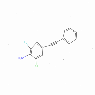 Nc1c(F)cc(C#Cc2ccccc2)cc1Cl